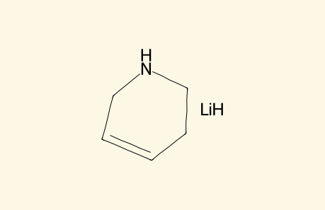 C1=CCNCC1.[LiH]